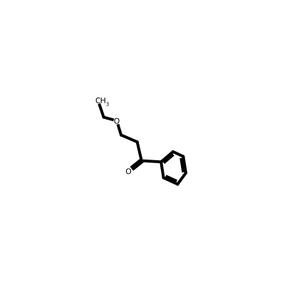 CCOCCC(=O)c1ccccc1